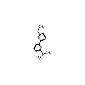 CCc1cccc(-c2cccc(C(C)C)n2)n1